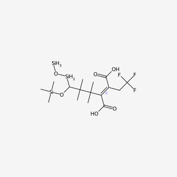 CC(C)(/C(C(=O)O)=C(/CC(F)(F)F)C(=O)O)C(C)(C)C(O[Si](C)(C)C)[SiH2]O[SiH3]